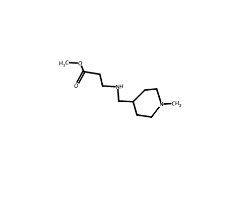 COC(=O)CCNCC1CCN(C)CC1